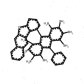 Bc1c(B)c(B)c2c(-c3cccc4oc5cc6ccccc6cc5c34)c3c(B)c(B)c(B)c(B)c3c(-c3ccccc3)c2c1B